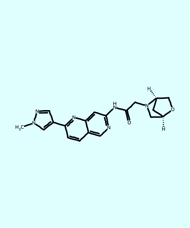 Cn1cc(-c2ccc3cnc(NC(=O)CN4C[C@H]5C[C@@H]4CO5)cc3n2)cn1